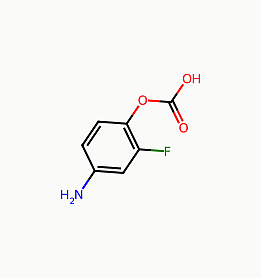 Nc1ccc(OC(=O)O)c(F)c1